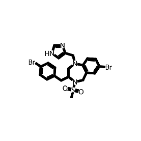 CS(=O)(=O)N1Cc2cc(Br)ccc2N(Cc2c[nH]cn2)CC1Cc1ccc(Br)cc1